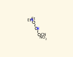 CCN(CC)c1ccc(/C=C/c2ccc(/C=C/c3ccc([N+](=O)[O-])c(C#N)c3)nc2)cc1